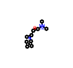 c1ccc(-c2nc(-c3ccccc3)nc(-c3ccc4c(c3)oc3ccc(-c5ccc6c(c5)c5ccccc5n6-c5ccc6c(c5)C5(c7ccccc7-c7ccccc75)c5ccccc5-6)cc34)n2)cc1